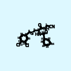 N#CCNC(=O)C(CSCc1ccc(Cl)c(Cl)c1)NC(=O)c1ccccc1